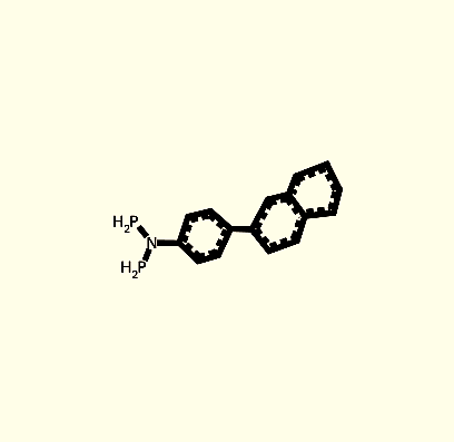 PN(P)c1ccc(-c2ccc3ccccc3c2)cc1